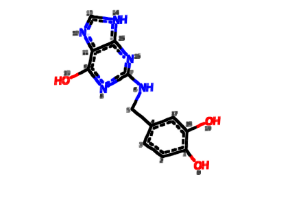 Oc1ccc(CNc2nc(O)c3nc[nH]c3n2)cc1O